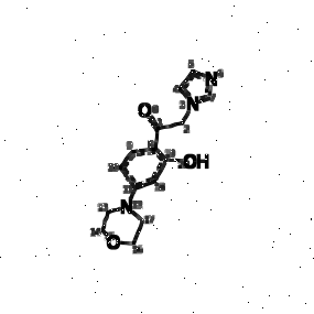 O=C(Cn1ccnc1)c1ccc(N2CCOCC2)cc1O